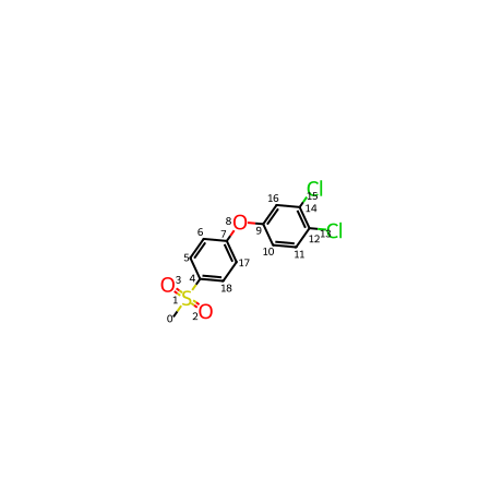 CS(=O)(=O)c1ccc(Oc2ccc(Cl)c(Cl)c2)cc1